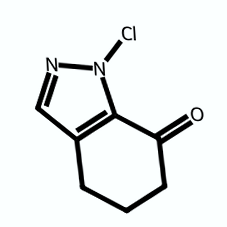 O=C1CCCc2cnn(Cl)c21